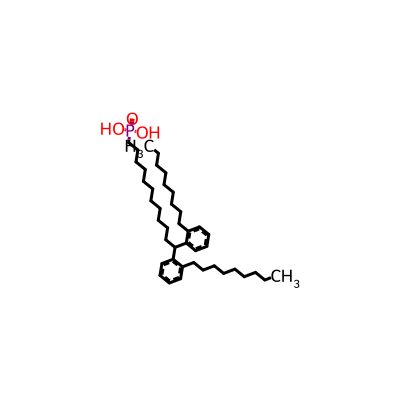 CCCCCCCCCc1ccccc1C(CCCCCCCCCCCP(=O)(O)O)c1ccccc1CCCCCCCCC